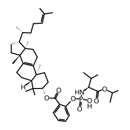 CC(C)=CCC[C@@H](C)[C@H]1CC[C@@]2(C)C3=C(CC[C@]12C)[C@@]1(C)CC[C@H](OC(=O)c2ccccc2OP(=O)(O)N[C@H](C(=O)OC(C)C)C(C)C)C(C)(C)[C@@H]1CC3